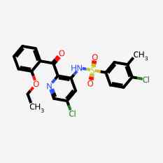 CCOc1ccccc1C(=O)c1ncc(Cl)cc1NS(=O)(=O)c1ccc(Cl)c(C)c1